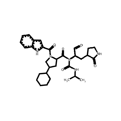 CC(C)NC(=O)N(C(=O)C1CC(C2CCCCC2)CN1C(=O)c1cc2ccccc2[nH]1)C(C=O)CC1CCNC1=O